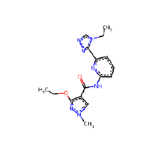 CCOc1nn(C)cc1C(=O)Nc1cccc(-c2nncn2CC)n1